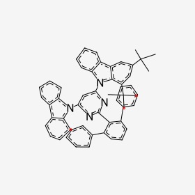 CC(C)(C)c1cc(C(C)(C)C)c2c(c1)c1ccccc1n2-c1cc(-n2c3ccccc3c3ccccc32)nc(-c2c(-c3ccccc3)cccc2-c2ccccc2)n1